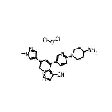 ClOCl.Cn1cc(-c2cc(-c3ccc(N4CCC(N)CC4)nc3)c3c(C#N)cnn3c2)cn1